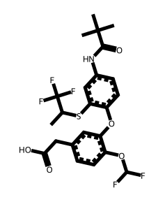 CC(Sc1cc(NC(=O)C(C)(C)C)ccc1Oc1cc(CC(=O)O)ccc1OC(F)F)C(F)(F)F